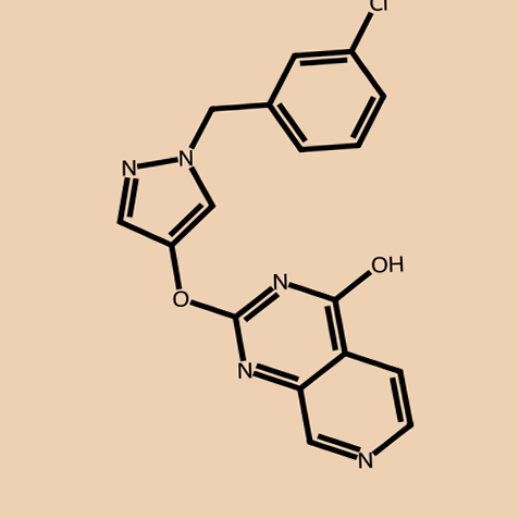 Oc1nc(Oc2cnn(Cc3cccc(Cl)c3)c2)nc2cnccc12